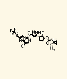 CC1(NC(=O)O[C@@H]2CC[C@H](c3cc(Nc4ncc(Cl)c5nc(COC(F)(F)F)cn45)n[nH]3)[C@@H]2F)CC1